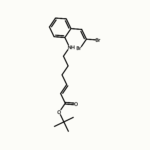 CC(C)(C)OC(=O)/C=C/CCCNc1ccccc1C=C(Br)Br